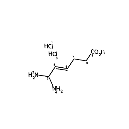 Cl.Cl.NC(N)C=CCCC(=O)O